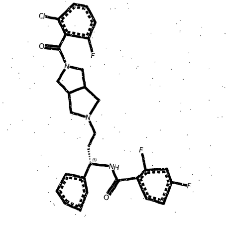 O=C(N[C@@H](CCN1CC2CN(C(=O)c3c(F)cccc3Cl)CC2C1)c1ccccc1)c1ccc(F)cc1F